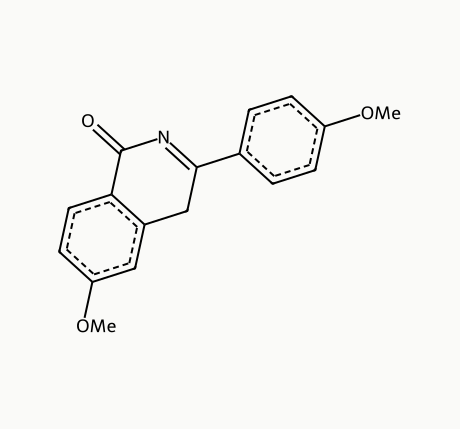 COc1ccc(C2=NC(=O)c3ccc(OC)cc3C2)cc1